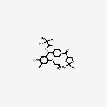 C=CCOc1cc(Cl)c(C)cc1[C@H](NC(=O)C(C)(C)C)C1CCN(C(=O)[C@H]2COC(C)(C)O2)CC1